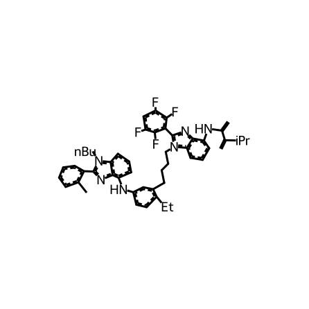 C=C(Nc1cccc2c1nc(-c1c(F)c(F)cc(F)c1F)n2CCCCc1cc(Nc2cccc3c2nc(-c2ccccc2C)n3CCCC)ccc1CC)C(=C)C(C)C